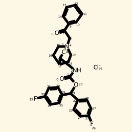 O=C(NC1C[N+]2(CC(=O)c3ccccc3)CCC1CC2)OC(c1ccc(F)cc1)c1ccc(F)cc1.[Cl-]